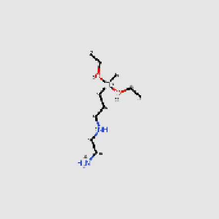 CC[O][Ti]([CH3])([CH2]CCNCCN)[O]CC